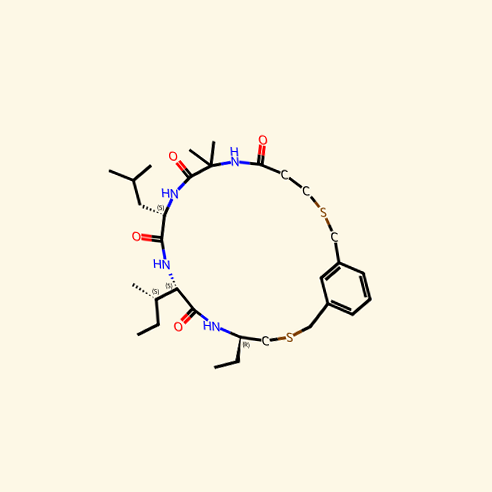 CC[C@@H]1CSCc2cccc(c2)CSCCC(=O)NC(C)(C)C(=O)N[C@@H](CC(C)C)C(=O)N[C@@H]([C@@H](C)CC)C(=O)N1